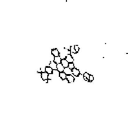 CCC1(c2cc3c4c(c2)c2cc(C56CC7CC(CC(C7)C5)C6)ccc2n4B2c4c(cc5ccccc5c4-3)N(c3cc4c(cc3C)C(C)(C)CCC4(C)C)c3ccc4ccccc4c32)CC2CCC(C2)C1